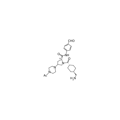 CC(=O)N1CCN(C2C[C@@H](C(=O)Nc3ccc(C=O)cc3)N(C(=O)[C@H]3CC[C@H](CN)CC3)C2)CC1